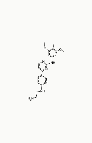 COc1cc(Nc2nccc(-c3ccc(NCCN)nc3)n2)cc(OC)c1C